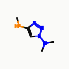 CPc1cn(N(C)C)nn1